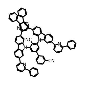 N#Cc1cccc(-c2cc(-n3c4cc(-c5cccc(-c6ccccc6)n5)ccc4c4ccc(-c5cccc(-c6ccccc6)n5)cc43)c(C#N)c(-n3c4cc(-c5cccc(-c6ccccc6)n5)ccc4c4ccc(-c5cccc(-c6ccccc6)n5)cc43)c2)c1